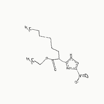 CCCCCCC(C(=O)OCC)c1nc([N+](=O)[O-])c[nH]1